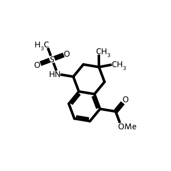 COC(=O)c1cccc2c1CC(C)(C)CC2NS(C)(=O)=O